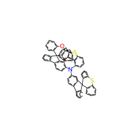 c1ccc2c(c1)Oc1ccccc1C21c2ccccc2-c2ccc(N(c3ccc4c(c3)C3(c5ccccc5Sc5ccccc53)c3ccccc3-4)c3cccc4sc5ccccc5c34)cc21